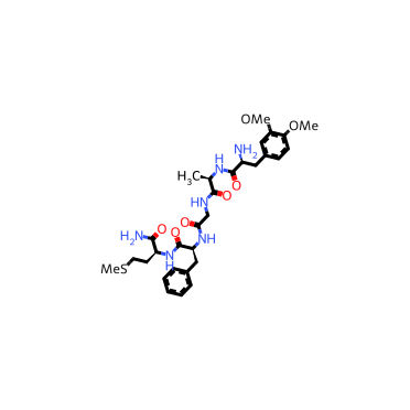 COc1ccc(C[C@H](N)C(=O)N[C@H](C)C(=O)NCC(=O)N[C@@H](Cc2ccccc2)C(=O)N[C@@H](CCSC)C(N)=O)cc1OC